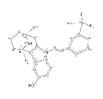 Cc1ccc2c(c1)c1c(n2C=Cc2cccc(C(F)(F)F)c2)C[C@@H]2CCC[C@H]1N2